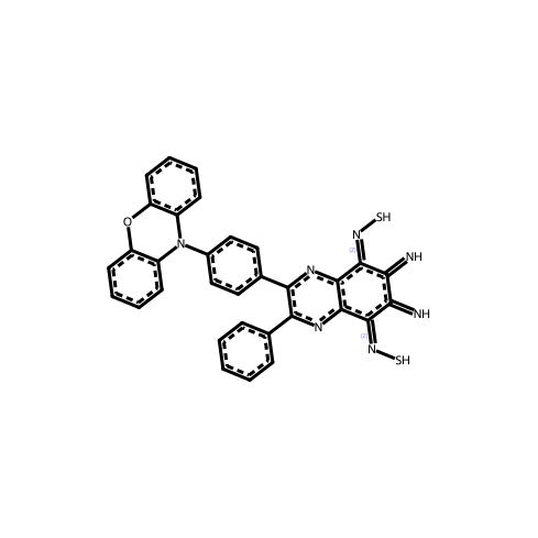 N=c1c(=N)/c(=N\S)c2nc(-c3ccc(N4c5ccccc5Oc5ccccc54)cc3)c(-c3ccccc3)nc2/c1=N/S